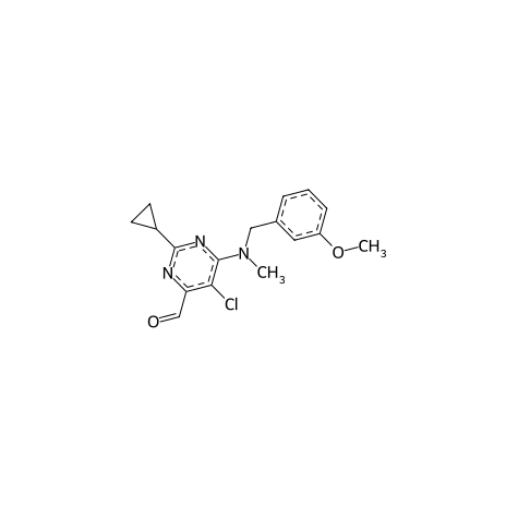 COc1cccc(CN(C)c2nc(C3CC3)nc(C=O)c2Cl)c1